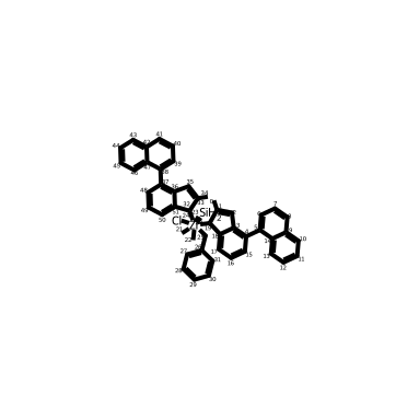 CC1=Cc2c(-c3cccc4ccccc34)cccc2[CH]1[Zr]([CH3])([CH3])(=[SiH2])([Cl])([CH2]c1ccccc1)[CH]1C(C)=Cc2c(-c3cccc4ccccc34)cccc21